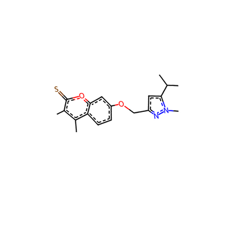 Cc1c(C)c2ccc(OCc3cc(C(C)C)n(C)n3)cc2oc1=S